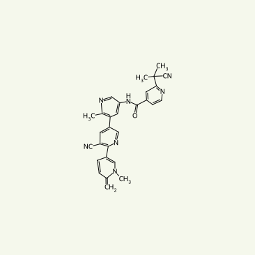 C=C1C=CC(c2ncc(-c3cc(NC(=O)c4ccnc(C(C)(C)C#N)c4)cnc3C)cc2C#N)=CN1C